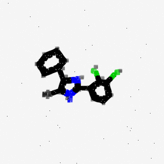 Cc1[nH]c(-c2cccc(Cl)c2Cl)nc1-c1ccccc1